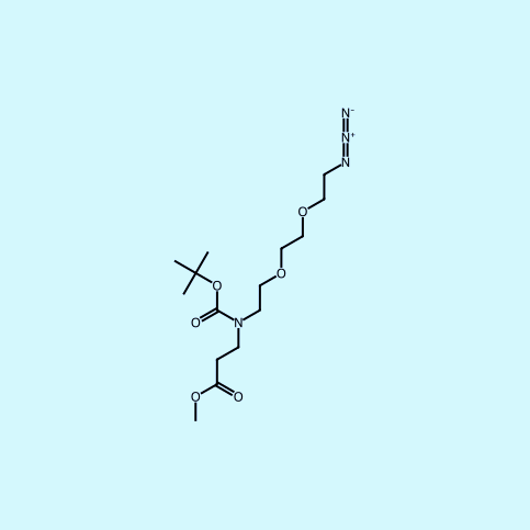 COC(=O)CCN(CCOCCOCCN=[N+]=[N-])C(=O)OC(C)(C)C